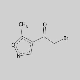 Cc1oncc1C(=O)CBr